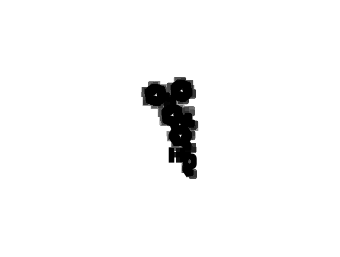 CCOPCc1ccc2c(c1)C(C)(C)c1cc(N(c3ccccc3)c3ccccc3)ccc1-2